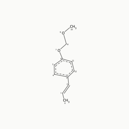 C/C=C/c1ccc(OCOC)cc1